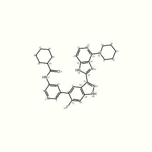 O=C(Nc1cncc(-c2cc3c(-c4nc5c(N6CCCCC6)nccc5[nH]4)n[nH]c3cc2F)c1)C1CCCCC1